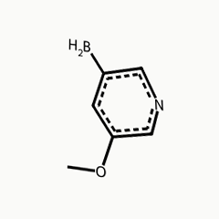 Bc1cncc(OC)c1